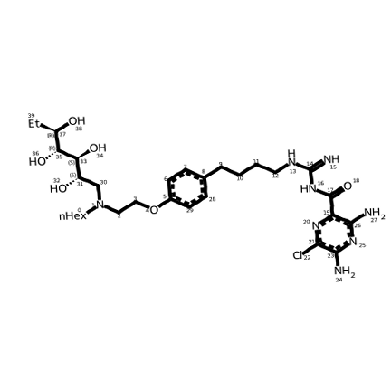 CCCCCCN(CCOc1ccc(CCCCNC(=N)NC(=O)c2nc(Cl)c(N)nc2N)cc1)C[C@H](O)[C@H](O)[C@H](O)[C@H](O)CC